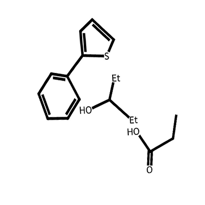 CCC(=O)O.CCC(O)CC.c1ccc(-c2cccs2)cc1